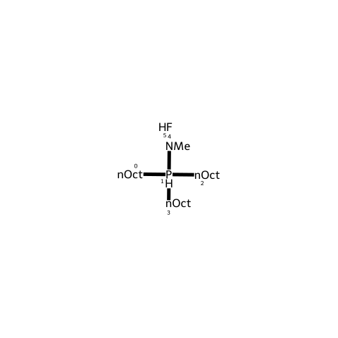 CCCCCCCC[PH](CCCCCCCC)(CCCCCCCC)NC.F